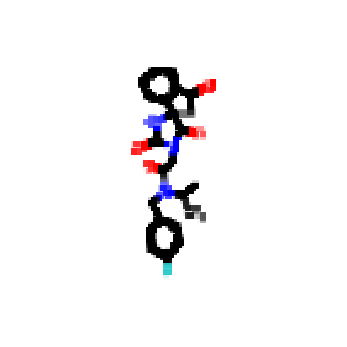 C[C@H](N(Cc1ccc(F)cc1)C(=O)CN1C(=O)NC2(CC(=O)c3ccccc32)C1=O)C(F)(F)F